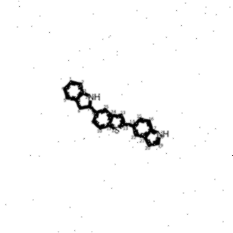 c1ccc2c(c1)CC(c1ccc3sc(-c4ccc5[nH]ccc5c4)cc3c1)N2